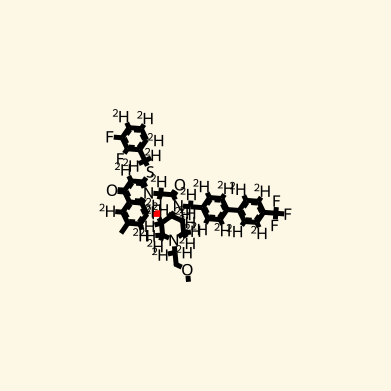 [2H]c1c([2H])c(F)c(F)c(C([2H])([2H])Sc2c([2H])c(=O)c3c([2H])c(C)c([2H])c([2H])c3n2C([2H])([2H])C(=O)N(C([2H])([2H])c2c([2H])c([2H])c(-c3c([2H])c([2H])c(C(F)(F)F)c([2H])c3[2H])c([2H])c2[2H])C2([2H])C([2H])([2H])C([2H])([2H])N(C([2H])([2H])COC)C([2H])([2H])C2([2H])[2H])c1[2H]